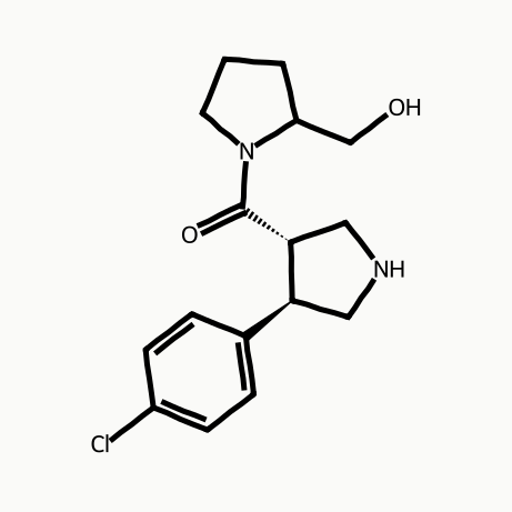 O=C([C@@H]1CNC[C@H]1c1ccc(Cl)cc1)N1CCCC1CO